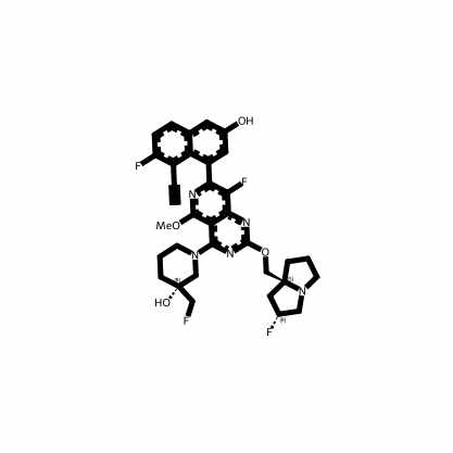 C#Cc1c(F)ccc2cc(O)cc(-c3nc(OC)c4c(N5CCC[C@](O)(CF)C5)nc(OC[C@@]56CCCN5C[C@H](F)C6)nc4c3F)c12